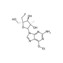 CCOc1nc(N)nc2c1ncn2C1O[C@@](CO)(CF)[C@@H](O)[C@@]1(C)O